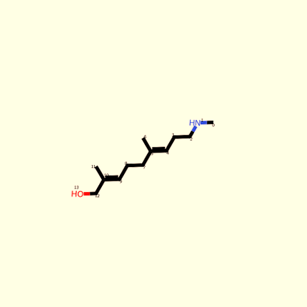 CNCC/C=C(\C)CC/C=C(\C)CO